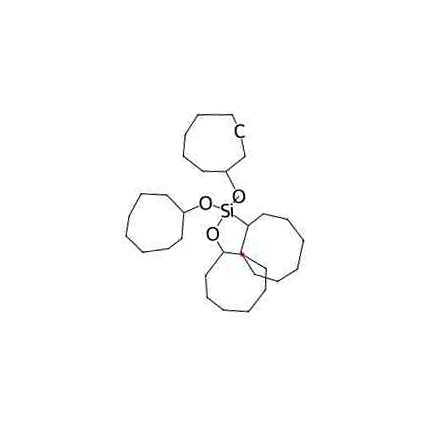 C1CCCC(O[Si](OC2CCCCCCC2)(OC2CCCCCCC2)C2CCCCCCC2)CCC1